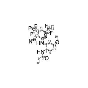 CCC(=O)Nc1ccc(OC)cc1Nc1nc(C(F)(F)F)cc(C(F)(F)F)c1C#N